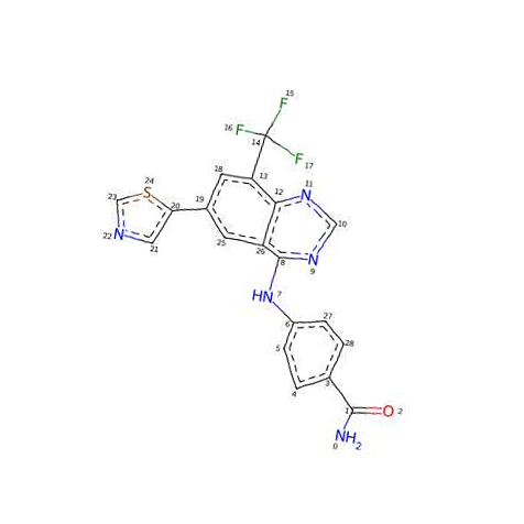 NC(=O)c1ccc(Nc2ncnc3c(C(F)(F)F)cc(-c4cncs4)cc23)cc1